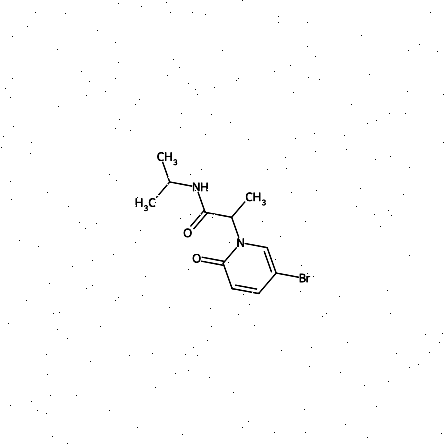 CC(C)NC(=O)C(C)n1cc(Br)ccc1=O